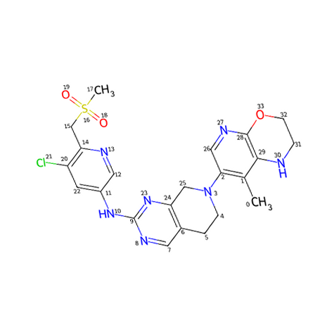 Cc1c(N2CCc3cnc(Nc4cnc(CS(C)(=O)=O)c(Cl)c4)nc3C2)cnc2c1NCCO2